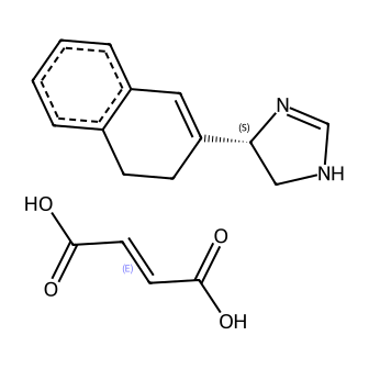 C1=N[C@@H](C2=Cc3ccccc3CC2)CN1.O=C(O)/C=C/C(=O)O